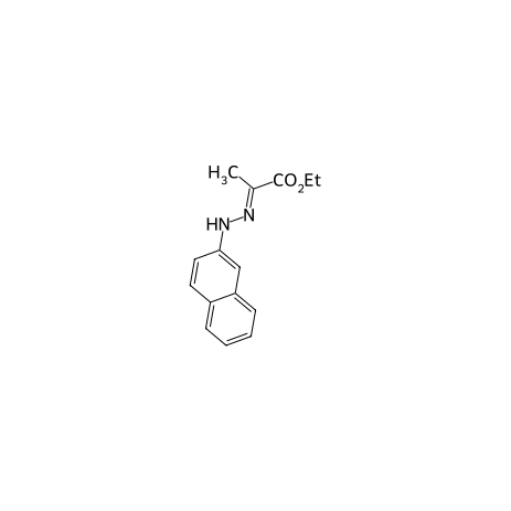 CCOC(=O)/C(C)=N/Nc1ccc2ccccc2c1